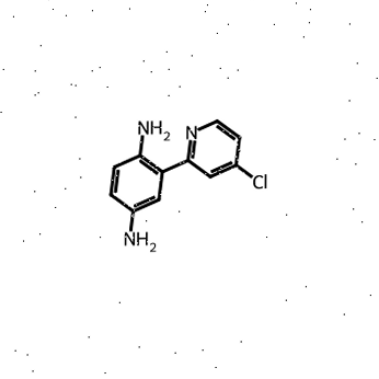 Nc1ccc(N)c(-c2cc(Cl)ccn2)c1